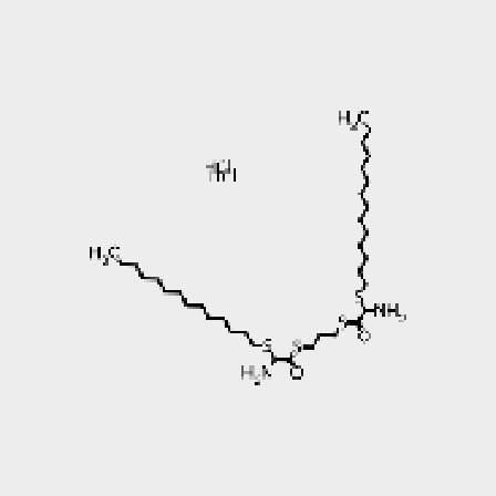 CCCCCCCCCCCCCCSC(N)C(=O)SCCCSC(=O)C(N)SCCCCCCCCCCCCCC.Cl.Cl